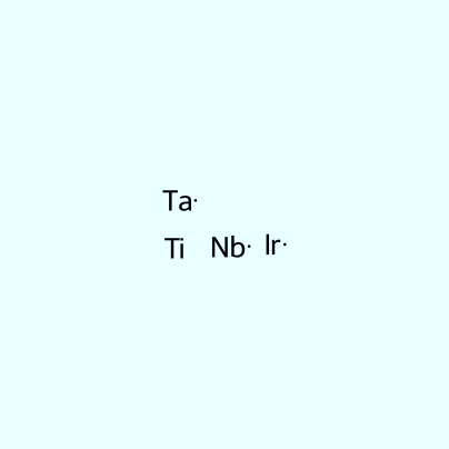 [Ir].[Nb].[Ta].[Ti]